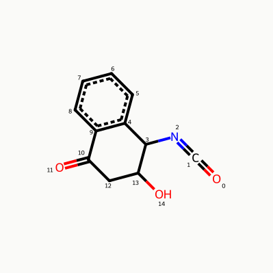 O=C=NC1c2ccccc2C(=O)CC1O